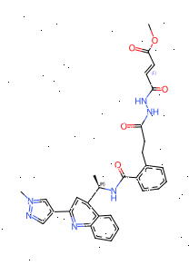 COC(=O)/C=C/C(=O)NNC(=O)CCc1ccccc1C(=O)N[C@H](C)c1cc(-c2cnn(C)c2)nc2ccccc12